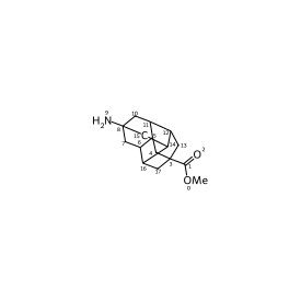 COC(=O)C12CC3C4CC5(N)CC3C(C1)C(C5)C4C2